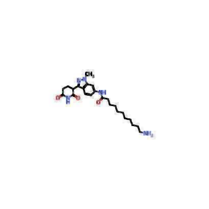 Cn1nc(C2CCC(=O)NC2=O)c2ccc(NC(=O)CCCCCCCCCCN)cc21